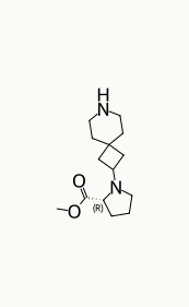 COC(=O)[C@H]1CCCN1C1CC2(CCNCC2)C1